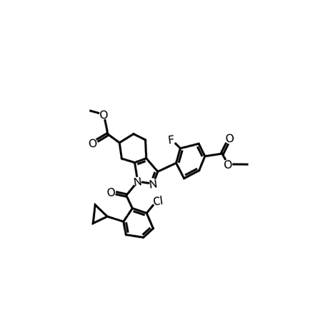 COC(=O)c1ccc(-c2nn(C(=O)c3c(Cl)cccc3C3CC3)c3c2CCC(C(=O)OC)C3)c(F)c1